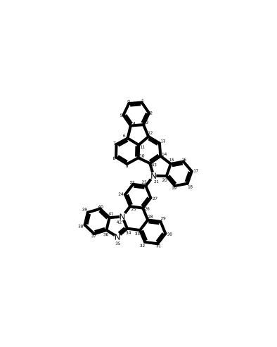 c1ccc2c(c1)-c1cccc3c1c-2cc1c2ccccc2n(-c2ccc4c(c2)c2ccccc2c2nc5ccccc5n42)c31